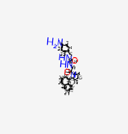 Nc1ccc(CNC(=O)NCC(=O)N2CCCC2c2cccc3ccccc23)cc1